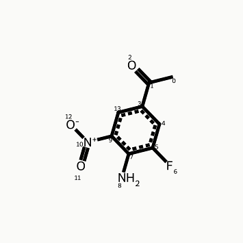 CC(=O)c1cc(F)c(N)c([N+](=O)[O-])c1